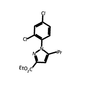 CCOC(=O)c1cc(C(C)C)n(-c2ccc(Cl)cc2Cl)n1